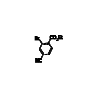 CCOC(=O)c1ccc(C#N)cc1Br